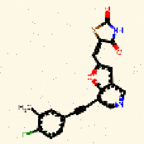 Cc1cc(C#Cc2cncc3cc(/C=C4/SC(=O)NC4=O)oc23)ccc1F